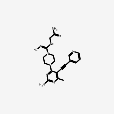 Cc1nc(N)nc(N2CCN(/C(=N\C#N)NCC(N)=O)CC2)c1C#Cc1cccnc1